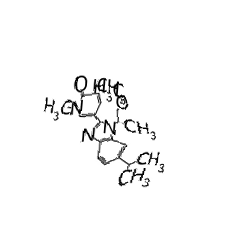 COC[C@H](C)n1c(-c2cc(C)c(=O)n(C)c2)nc2ccc(C(C)C)cc21